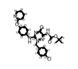 CC(C)(C)OC(=O)Nc1nn(Cc2ccc(Cl)cc2)c(Nc2ccc(Oc3ccccn3)cc2)nc1=O